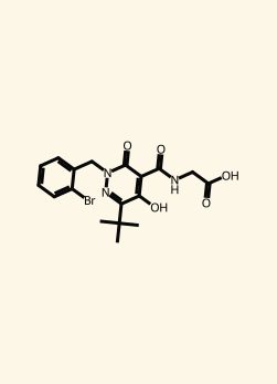 CC(C)(C)c1nn(Cc2ccccc2Br)c(=O)c(C(=O)NCC(=O)O)c1O